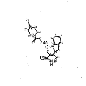 Cc1c(N2Cc3ccccc3[C@H]2COCCC(=O)N2CCN(C)CC2)cn[nH]c1=O